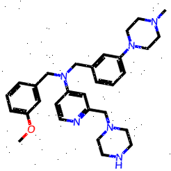 COc1cccc(CN(Cc2cccc(N3CCN(C)CC3)c2)c2ccnc(CN3CCNCC3)c2)c1